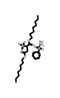 CCCCCCCCOC(=O)CC(C(=O)OCCCCCCCC)S(=O)(=O)[O-].NS(=O)(=O)c1ccccc1.[Na+]